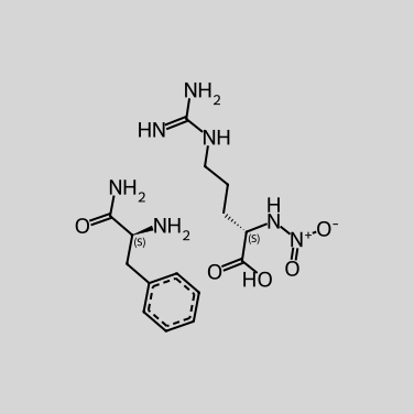 N=C(N)NCCC[C@H](N[N+](=O)[O-])C(=O)O.NC(=O)[C@@H](N)Cc1ccccc1